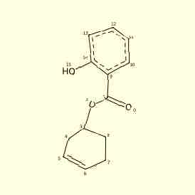 O=C(OC1CC=CCC1)c1ccccc1O